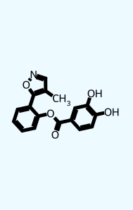 Cc1cnoc1-c1ccccc1OC(=O)c1ccc(O)c(O)c1